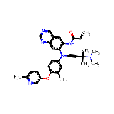 C=CC(=O)Nc1cc2cncnc2cc1N(C#CC(C)(C)N(C)C)c1ccc(Oc2ccc(C)nc2)c(C)c1